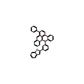 c1ccc(-c2ccc(-c3ccccc3N(c3cccc(-c4cc5ccccc5o4)c3)c3cccc4ccccc34)cc2)cc1